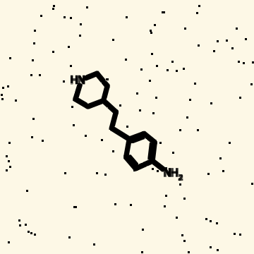 Nc1ccc(CCC2CCNCC2)cc1